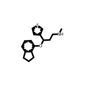 CNCCC(Oc1cccc2c1CCC2)c1ccsc1